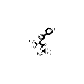 CC(C)[C@@H](C(=O)OC(C)(C)C)n1cc(C2CCNCC2)nn1